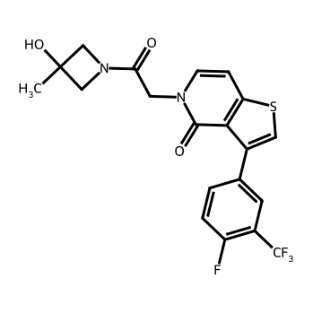 CC1(O)CN(C(=O)Cn2ccc3scc(-c4ccc(F)c(C(F)(F)F)c4)c3c2=O)C1